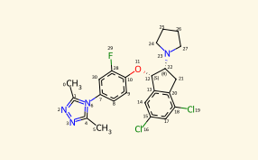 Cc1nnc(C)n1-c1ccc(O[C@H]2c3cc(Cl)cc(Cl)c3C[C@H]2N2CCCC2)c(F)c1